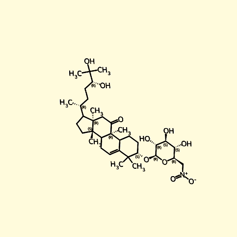 C[C@H](CC[C@@H](O)C(C)(C)O)C1CC[C@@]2(C)C3CC=C4C(CC[C@H](O[C@@H]5O[C@H](C[N+](=O)[O-])[C@@H](O)[C@H](O)[C@H]5O)C4(C)C)[C@]3(C)C(=O)C[C@]12C